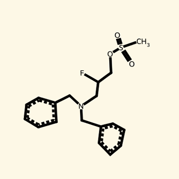 CS(=O)(=O)OCC(F)CN(Cc1ccccc1)Cc1ccccc1